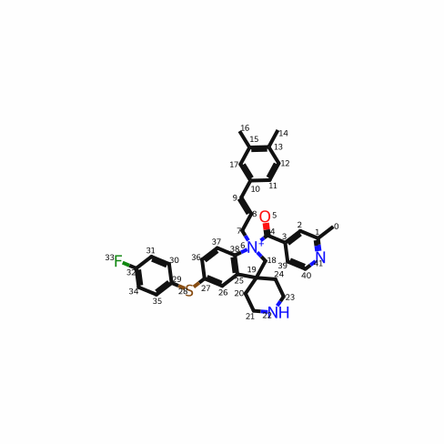 Cc1cc(C(=O)[N+]2(C/C=C/c3ccc(C)c(C)c3)CC3(CCNCC3)c3cc(Sc4ccc(F)cc4)ccc32)ccn1